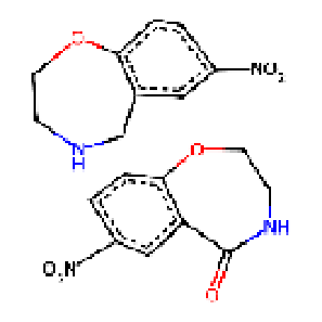 O=C1NCCOc2ccc([N+](=O)[O-])cc21.O=[N+]([O-])c1ccc2c(c1)CNCCO2